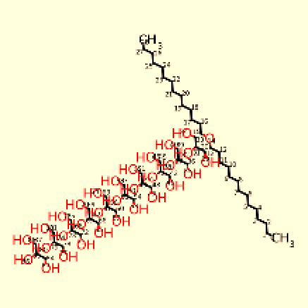 CCCCCCCCCCCCCCOCCCCCCCCCCCCCC.OCC(O)CO.OCC(O)CO.OCC(O)CO.OCC(O)CO.OCC(O)CO.OCC(O)CO.OCC(O)CO.OCC(O)CO.OCC(O)CO.OCC(O)CO